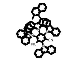 Cc1ccc2ccccc2c1-c1cccc2c1c1ccc3c4ccccc4sc3c1n2-c1c(-n2c3ccccc3c3ccccc32)c(C#N)c(-n2c3ccccc3c3ccccc32)c(C#N)c1-n1c2ccccc2c2ccccc21